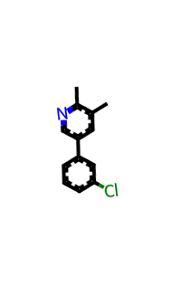 Cc1cc(-c2cccc(Cl)c2)cnc1C